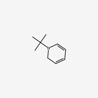 CC(C)(C)N1C=CC=CC1